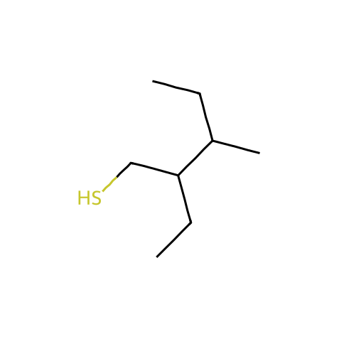 CCC(C)C(CC)CS